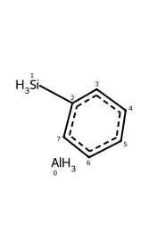 [AlH3].[SiH3]c1ccccc1